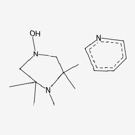 CN1C(C)(C)CN(O)CC1(C)C.c1ccncc1